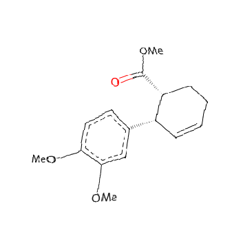 COC(=O)[C@@H]1CCC=C[C@@H]1c1ccc(OC)c(OC)c1